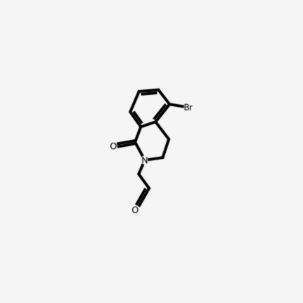 O=CCN1CCc2c(Br)cccc2C1=O